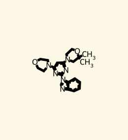 CC1(C)CN(c2cc(N3CCOCC3)nc(-n3cnc4ccccc43)n2)CCO1